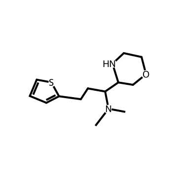 CN(C)C(CCc1cccs1)C1COCCN1